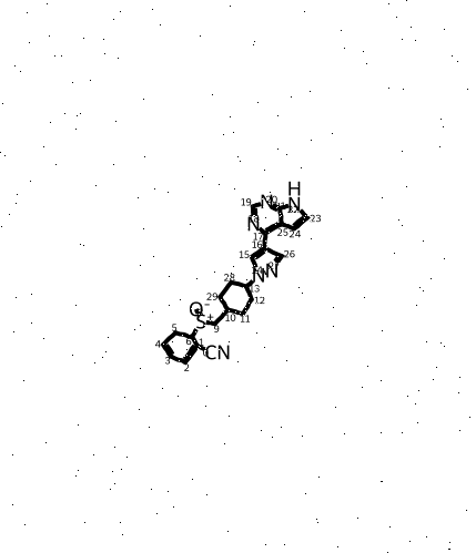 N#CC1=CC=CCC1[S+]([O-])CC1CCC(n2cc(-c3ncnc4[nH]ccc34)cn2)CC1